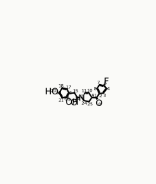 O=C(c1ccc(F)cc1)C1C=CN(C(=O)Cc2ccc(O)cc2O)CC1